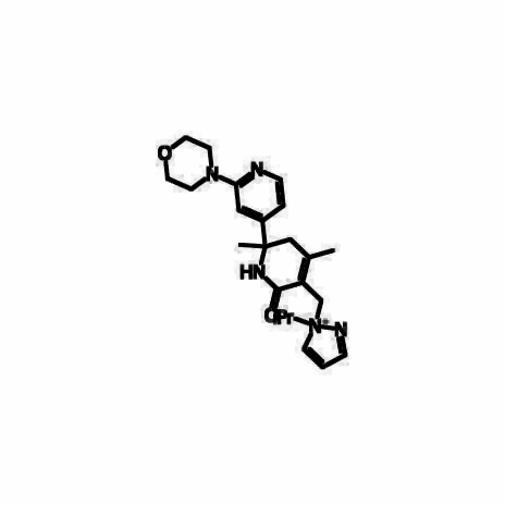 CC1=C(C[N+]2(C(C)C)C=CC=N2)C(=O)NC(C)(c2ccnc(N3CCOCC3)c2)C1